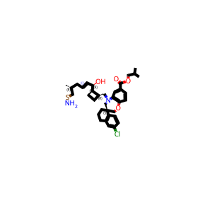 CC(C)COC(=O)c1ccc2c(c1)N(C[C@@H]1CC[C@H]1[C@@H](O)/C=C/C[C@@H](C)CSN)C[C@@]1(CCCc3cc(Cl)ccc31)CO2